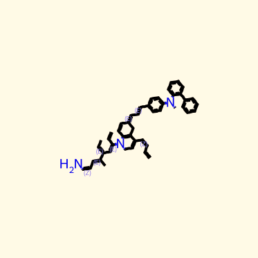 C=C/C=C\C1=CCN(/C(C=C)=C/C(=C\C)C(/C)=C/C=C\N)C2=C1C/C(=C\C=C\c1ccc(N(C)c3ccccc3-c3ccccc3)cc1)C=C2